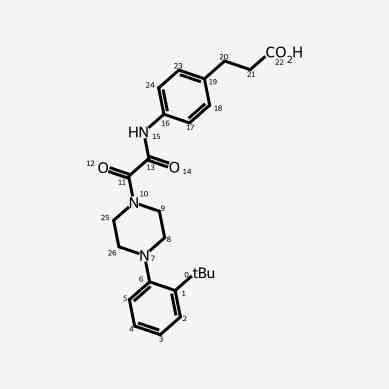 CC(C)(C)c1ccccc1N1CCN(C(=O)C(=O)Nc2ccc(CCC(=O)O)cc2)CC1